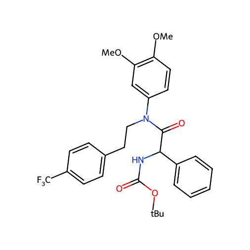 COc1ccc(N(CCc2ccc(C(F)(F)F)cc2)C(=O)C(NC(=O)OC(C)(C)C)c2ccccc2)cc1OC